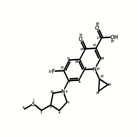 CSCC1CCN(c2cc3c(cc2F)c(=O)c(C(=O)O)cn3C2CC2)C1